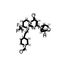 O=CN1CCC(CCN2c3nc(N4C[C@@H]5CC4CO5)cc(=O)n3CC[C@H]2C(F)(F)F)CC1